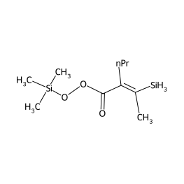 CCCC(C(=O)OO[Si](C)(C)C)=C(C)[SiH3]